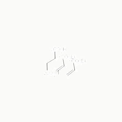 C=CC(=O)OCC.C=CC(=O)OCC.O=C(O)CCC(=O)O